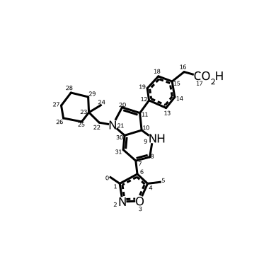 Cc1noc(C)c1C1=CNC2C(c3ccc(CC(=O)O)cc3)=CN(CC3(C)CCCCC3)C2=C1